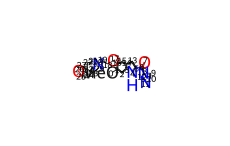 COc1cc2[nH]c(C(=O)n3ccnc3)cc2cc1OCCN1CCC2(CCOC2)CC1